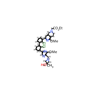 CCOC(=O)CN1CCc2c(cc(-c3cccc(-c4cccc(-c5cnc(CN6CC(C)(O)C6)c(OC)n5)c4Cl)c3Cl)nc2OC)C1